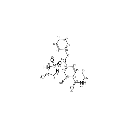 O=C1CN(c2c(OCc3ccccc3)cc3c(c2F)C(=O)NCC3)S(=O)(=O)N1